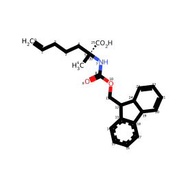 C=CCCC[C@](C)(NC(=O)OCC1c2ccccc2C2C=CC=CC21)C(=O)O